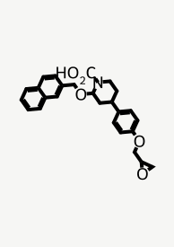 O=C(O)N1CCC(c2ccc(OCC3CO3)cc2)CC1OCc1ccc2ccccc2c1